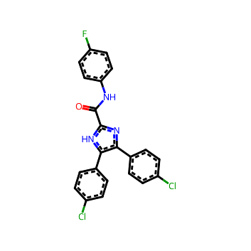 O=C(Nc1ccc(F)cc1)c1nc(-c2ccc(Cl)cc2)c(-c2ccc(Cl)cc2)[nH]1